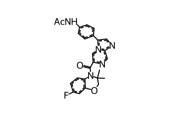 CC(=O)Nc1ccc(-c2cnc3cnc(C(=O)N4c5ccc(F)cc5OCC4(C)C)cn23)cc1